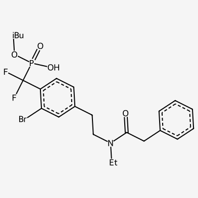 CCC(C)OP(=O)(O)C(F)(F)c1ccc(CCN(CC)C(=O)Cc2ccccc2)cc1Br